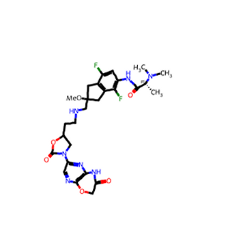 COC1(CNCCC2CN(c3cnc4c(n3)NC(=O)CO4)C(=O)O2)Cc2c(F)cc(NC(=O)[C@@H](C)N(C)C)c(F)c2C1